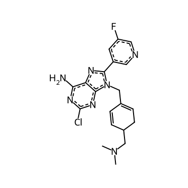 CN(C)CC1C=CC(Cn2c(-c3cncc(F)c3)nc3c(N)nc(Cl)nc32)=CC1